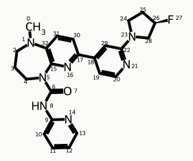 CN1CCCN(C(=O)Nc2ccccn2)c2nc(-c3ccnc(N4CC[C@@H](F)C4)c3)ccc21